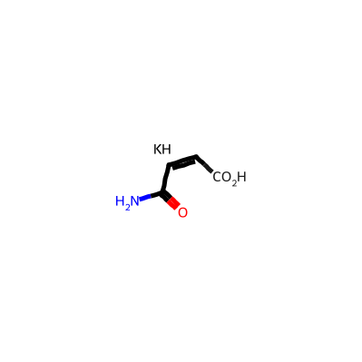 NC(=O)/C=C\C(=O)O.[KH]